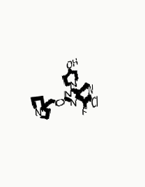 OC1CCN(c2nc(OCC34CCCN3CCC4)nc3c(F)c(Cl)ncc23)CC1